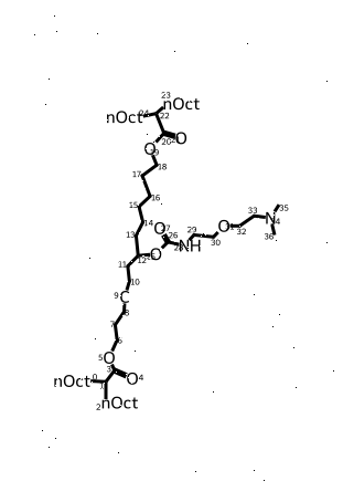 CCCCCCCCC(CCCCCCCC)C(=O)OCCCCCCC(CCCCCCOC(=O)C(CCCCCCCC)CCCCCCCC)OC(=O)NCCOCCN(C)C